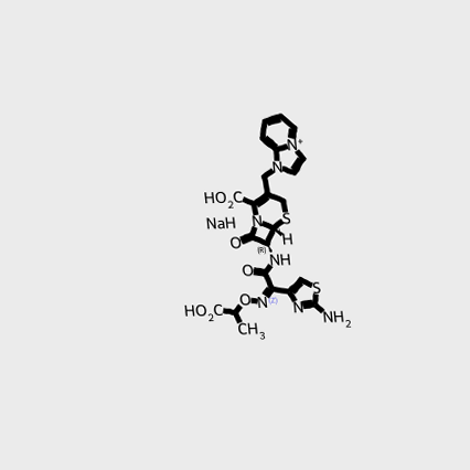 CC(O/N=C(\C(=O)N[C@@H]1C(=O)N2C(C(=O)O)=C(Cn3cc[n+]4ccccc34)CS[C@H]12)c1csc(N)n1)C(=O)O.[NaH]